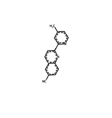 Cc1ccnc(-c2ccc3cc(C#N)ccc3n2)c1